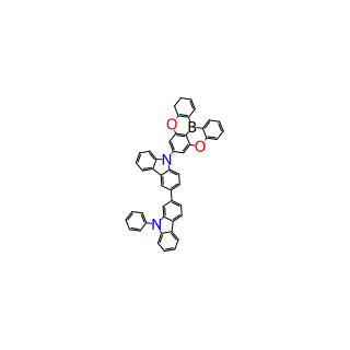 C1=CC2=C(CC1)Oc1cc(-n3c4ccccc4c4cc(-c5ccc6c7ccccc7n(-c7ccccc7)c6c5)ccc43)cc3c1B2c1ccccc1O3